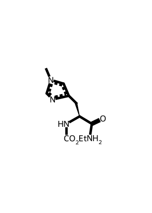 CCOC(=O)N[C@@H](Cc1cn(C)cn1)C(N)=O